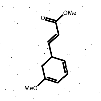 COC(=O)C=CC1C=CC=C(OC)C1